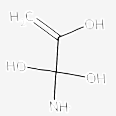 C=C(O)C([NH])(O)O